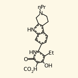 CCCN1CCc2c([nH]c3cc(-c4[nH]c(=O)c(C(=O)O)c(O)c4CC)ccc23)C1